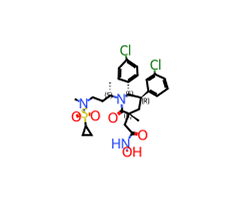 C[C@@H](CCN(C)S(=O)(=O)C1CC1)N1C(=O)[C@@](C)(CC(=O)NO)C[C@H](c2cccc(Cl)c2)[C@H]1c1ccc(Cl)cc1